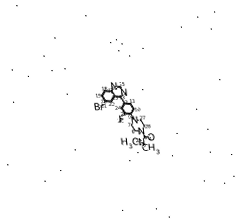 CN(C)C(=O)N1CCN(c2ccc(-c3ncnc4ccc(Br)cc34)cc2F)CC1